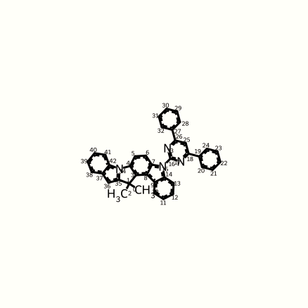 CC1(C)c2c(ccc3c2c2ccccc2n3-c2nc(-c3ccccc3)cc(-c3ccccc3)n2)-n2c1cc1ccccc12